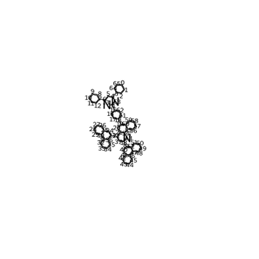 c1ccc(-c2cc(-c3ccccc3)nc(-c3ccc(-c4cc5c(-c6cc7ccccc7c7ccccc67)cc(-c6cc7ccccc7c7ccccc67)nc5c5ccccc45)cc3)n2)cc1